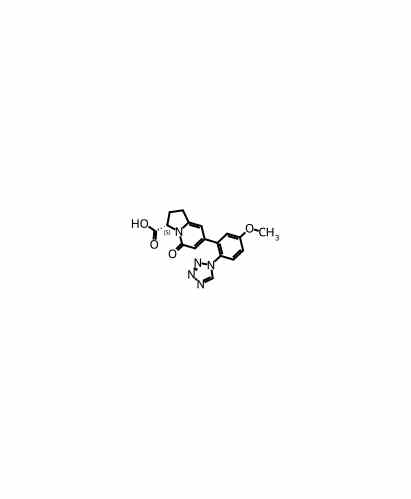 COc1ccc(-n2cnnn2)c(-c2cc3n(c(=O)c2)[C@H](C(=O)O)CC3)c1